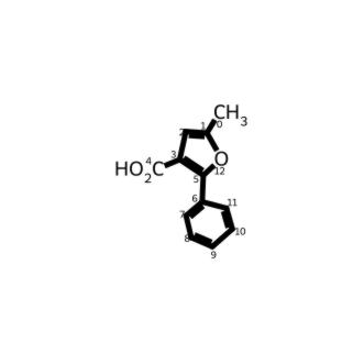 Cc1cc(C(=O)O)c(-c2ccccc2)o1